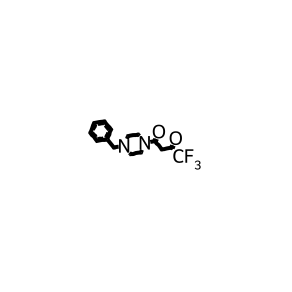 O=C(CC(=O)C(F)(F)F)N1CCN(Cc2ccccc2)CC1